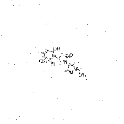 C=Cn1cc(N2CC(c3c(O)ccc(Cl)c3Cl)CC2=O)cn1